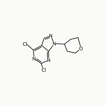 Clc1nc(Cl)c2cnn(C3CCOCC3)c2n1